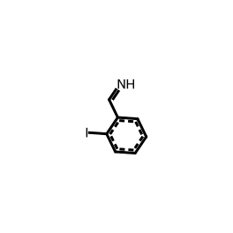 N=Cc1ccccc1I